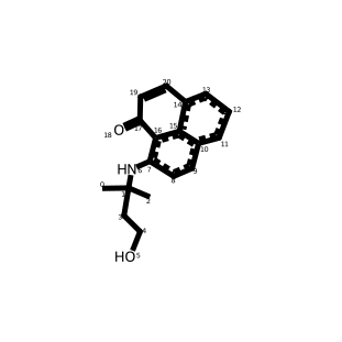 CC(C)(CCO)Nc1ccc2cccc3c2c1C(=O)C=C3